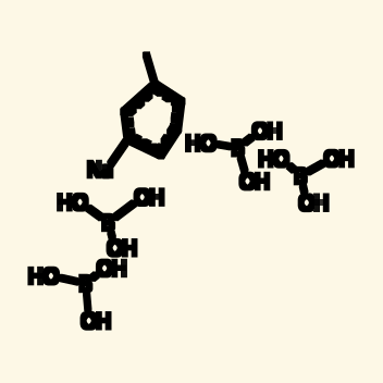 Cc1ccc[c]([Na])c1.OB(O)O.OB(O)O.OB(O)O.OB(O)O